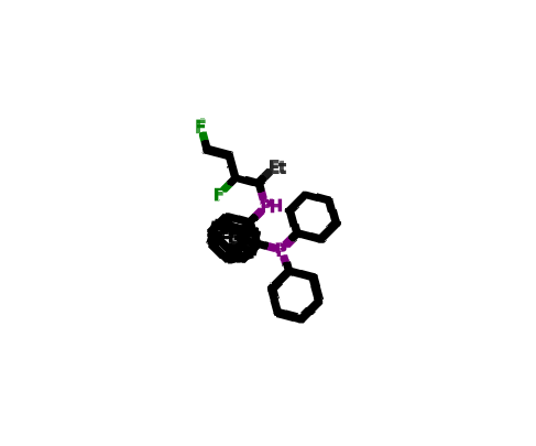 CCC(P[C]12[CH]3[CH]4[CH]5[C]1(P(C1CCCCC1)C1CCCCC1)[Fe]43521678[CH]2[CH]1[CH]6[CH]7[CH]28)C(F)CCF